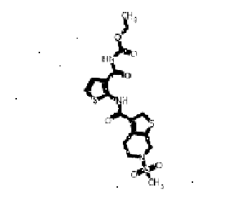 CCOC(=O)NC(=O)c1ccsc1NC(=O)C1=C2CCN(S(C)(=O)=O)CC2SC1